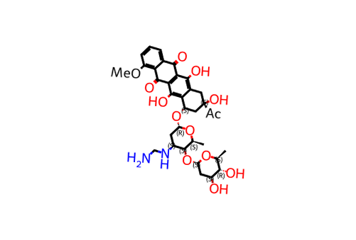 COc1cccc2c1C(=O)c1c(O)c3c(c(O)c1C2=O)C[C@@](O)(C(C)=O)C[C@@H]3O[C@H]1C[C@H](NCN)[C@H](O[C@H]2C[C@H](O)[C@@H](O)[C@H](C)O2)[C@H](C)O1